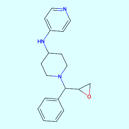 c1ccc(C(C2CO2)N2CCC(Nc3ccncc3)CC2)cc1